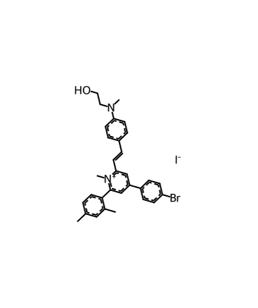 Cc1ccc(-c2cc(-c3ccc(Br)cc3)cc(/C=C/c3ccc(N(C)CCO)cc3)[n+]2C)c(C)c1.[I-]